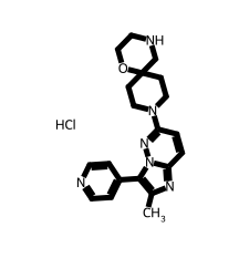 Cc1nc2ccc(N3CCC4(CC3)CNCCO4)nn2c1-c1ccncc1.Cl